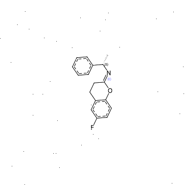 C[C@H](/N=C1\CCc2cc(F)ccc2O1)c1ccccc1